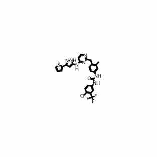 Cc1cc(NC(=O)Nc2ccc(Cl)c(C(F)(F)F)c2)ccc1Cc1nccc(Nc2cc(-c3cccs3)n[nH]2)n1